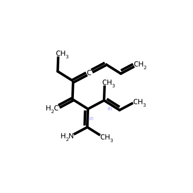 C=CC=C=C(CC)C(=C)C(=C(/C)N)/C(C)=C/C